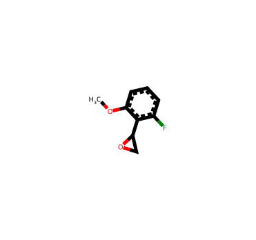 COc1cccc(F)c1C1CO1